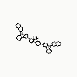 CC1(C)C2=C(CCC(c3ccc4c(c3)c3ccccc3n4C3=CCC4CCC=CC4=C3)=C2)C2=CC=C(c3ccc4c(c3)c3ccccc3n4-c3ccc4ccccc4c3)C[C@@H]21